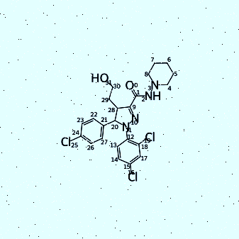 O=C(NN1CCCCC1)C1=NN(c2ccc(Cl)cc2Cl)C(c2ccc(Cl)cc2)C1CCO